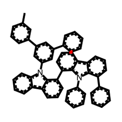 Cc1cccc(-c2cc(-c3ccccc3)cc(-n3c4ccccc4c4cccc(-c5cccc6c7cccc(-c8ccccc8)c7n(-c7ccccc7)c56)c43)c2)c1